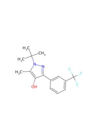 Cc1c(O)c(-c2cccc(C(F)(F)F)c2)nn1C(C)(C)C